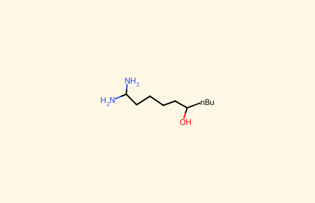 CCCCC(O)CCCCC(N)N